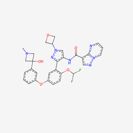 CN1CC(O)(c2cccc(Oc3ccc(OC(F)F)c(-c4nn(C5COC5)cc4NC(=O)c4cnn5cccnc45)c3)c2)C1